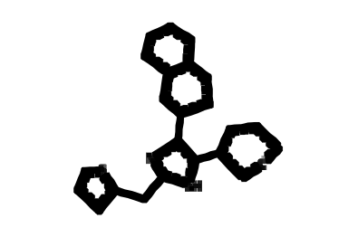 c1ccc(-c2[nH]c(Cc3cccs3)nc2-c2ccc3ccccc3c2)cc1